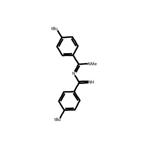 CN/C(=N\C(=N)c1ccc(C(C)(C)C)cc1)c1ccc(C(C)(C)C)cc1